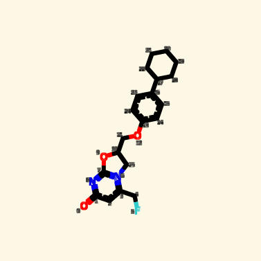 O=c1cc(CF)n2c(n1)OC(COc1ccc(C3CCCCC3)cc1)C2